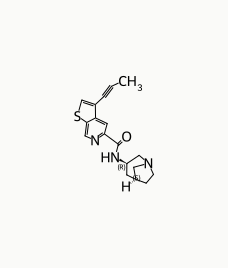 CC#Cc1csc2cnc(C(=O)N[C@@H]3C[C@@H]4CCN(C4)C3)cc12